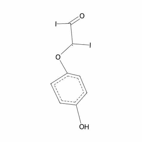 O=C(I)[C](I)Oc1ccc(O)cc1